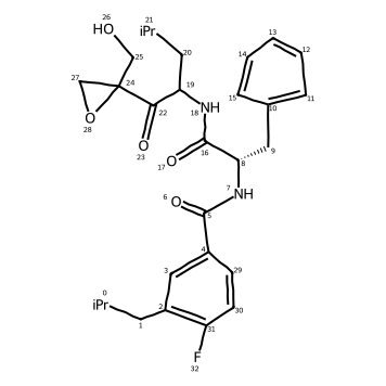 CC(C)Cc1cc(C(=O)N[C@@H](Cc2ccccc2)C(=O)NC(CC(C)C)C(=O)C2(CO)CO2)ccc1F